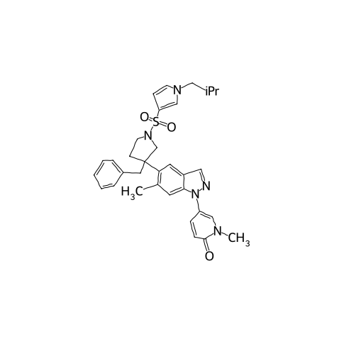 Cc1cc2c(cnn2-c2ccc(=O)n(C)c2)cc1C1(Cc2ccccc2)CCN(S(=O)(=O)c2ccn(CC(C)C)c2)C1